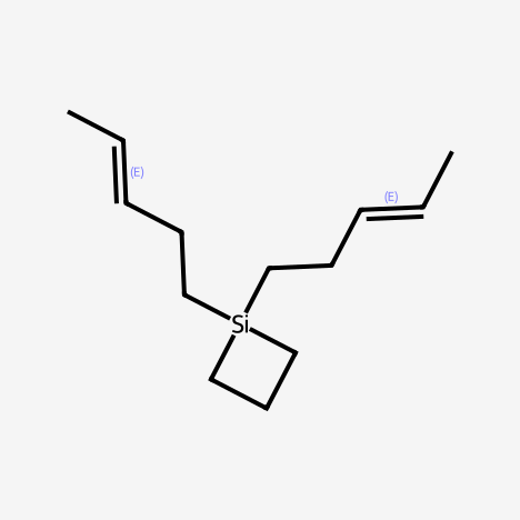 C/C=C/CC[Si]1(CC/C=C/C)CCC1